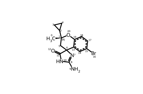 C[C@]1(C2CC2)CC2(N=C(N)NC2=O)c2cc(Br)ccc2O1